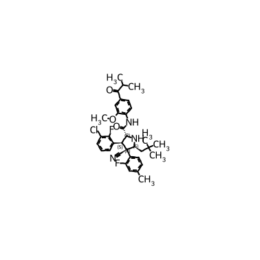 COc1cc(C(=O)C(C)C)ccc1NC(=O)[C@@H]1N[C@@H](CC(C)(C)C)[C@](C#N)(c2ccc(C)cc2F)[C@H]1c1cccc(Cl)c1F